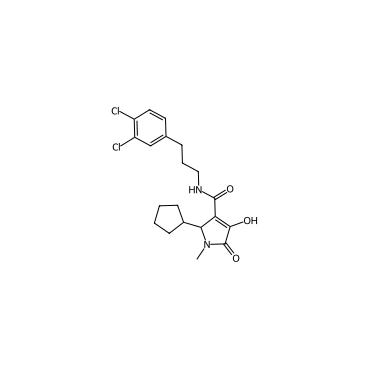 CN1C(=O)C(O)=C(C(=O)NCCCc2ccc(Cl)c(Cl)c2)C1C1CCCC1